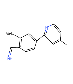 CNc1cc(-c2cc(C)ccn2)ccc1C=N